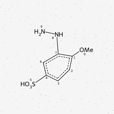 COc1ccc(S(=O)(=O)O)cc1NN